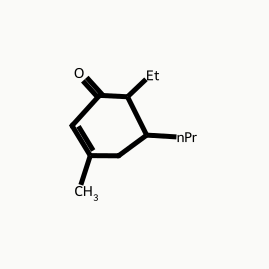 CCCC1CC(C)=CC(=O)C1CC